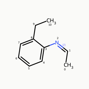 C/C=N\c1ccccc1CC